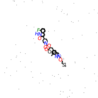 COC(=O)C(Cc1cc(C)c2nn(COCC[Si](C)(C)C)cc2c1)OC(=O)N1CCC(c2cc3cccc(F)c3[nH]c2=O)CC1